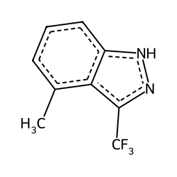 Cc1cccc2[nH]nc(C(F)(F)F)c12